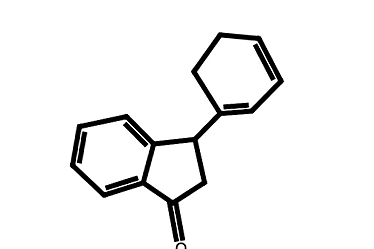 O=C1CC(C2=CC=CCC2)c2ccccc21